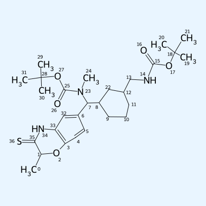 CC1Oc2ccc(C(C3CCCC(CNC(=O)OC(C)(C)C)C3)N(C)C(=O)OC(C)(C)C)cc2NC1=S